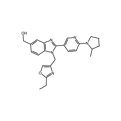 CCc1nc(Cn2c(-c3ccc(N4CCCC4C)nc3)nc3cc(CO)ccc32)co1